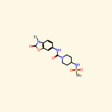 CCn1c(=O)oc2cc(NC(=O)N3CCC(NS(=O)(=O)C(C)(C)C)CC3)ccc21